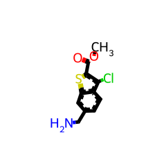 COC(=O)c1sc2cc(CN)ccc2c1Cl